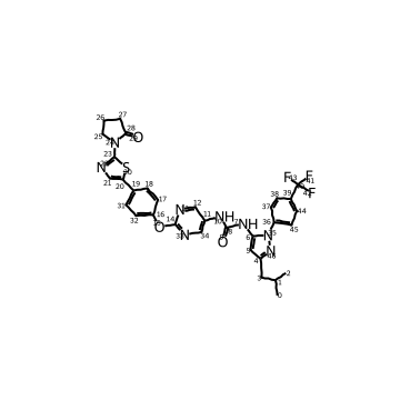 CC(C)Cc1cc(NC(=O)Nc2cnc(Oc3ccc(-c4cnc(N5CCCC5=O)s4)cc3)nc2)n(-c2ccc(C(F)(F)F)cc2)n1